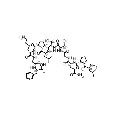 CC(C)C[C@H](NC(=O)[C@@H](NC(=O)[C@@H](NC(=O)CNC(=O)[C@H](CCC(N)=O)NC(=O)[C@@H]1CCCN1C(=O)[C@@H](N)CC(C)C)[C@@H](C)O)[C@@H](C)O)C(=O)N1CCC[C@H]1C(=O)N[C@@H](CCCCN)C(=O)NCC(=O)N[C@@H](Cc1ccccc1)C(=O)O